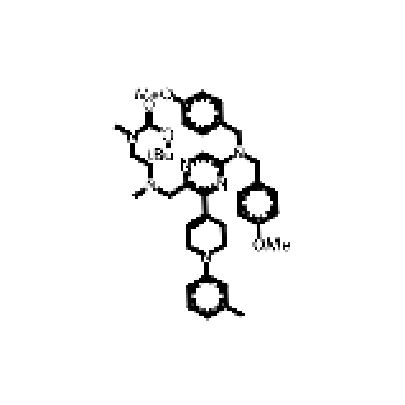 COc1ccc(CN(Cc2ccc(OC)cc2)c2cnc(CN(C)CCN(C)C(=O)OC(C)(C)C)c(C3=CCN(c4cccc(C)c4)CC3)n2)cc1